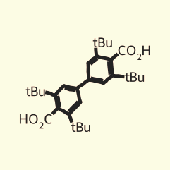 CC(C)(C)c1cc(-c2cc(C(C)(C)C)c(C(=O)O)c(C(C)(C)C)c2)cc(C(C)(C)C)c1C(=O)O